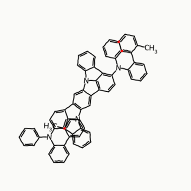 Cc1ccccc1-c1ccccc1N(c1ccccc1)c1ccc2c3cc4c(cc3n3c5ccccc5c1c23)c1ccc(N(c2ccccc2)c2ccccc2-c2ccccc2C)c2c3ccccc3n4c12